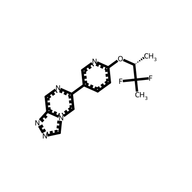 C[C@@H](Oc1ccc(-c2cn3cnnc3cn2)cn1)C(C)(F)F